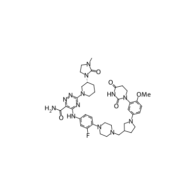 COc1ccc(N2CCC(CN3CCN(c4ccc(Nc5nc(N6CCC[C@@H](N7CCN(C)C7=O)C6)nnc5C(N)=O)cc4F)CC3)C2)cc1N1CCC(=O)NC1=O